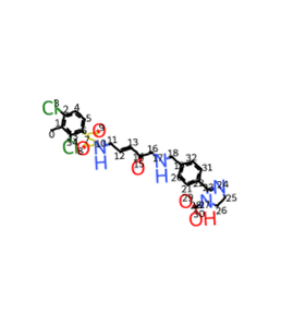 Cc1c(Cl)ccc(S(=O)(=O)NCC=CC(=O)CNCc2ccc(C3=NCCN3C(=O)O)cc2)c1Cl